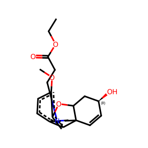 CCOC(=O)CCN1CCC23C=C[C@H](O)CC2Oc2c(OC)ccc(c23)C1